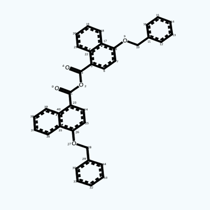 O=C(OC(=O)c1ccc(OCc2ccccc2)c2ccccc12)c1ccc(OCc2ccccc2)c2ccccc12